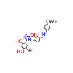 COc1ccc(CNCc2ccc(Cn3c(O)nnc3-c3cc(C(C)C)c(O)cc3O)cc2)cc1